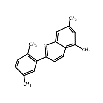 Cc1ccc(C)c(-c2ccc3c(C)cc(C)cc3n2)c1